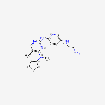 Cc1cnc(Nc2ccc(NCCN)cn2)nc1N(C)C1CCCC1